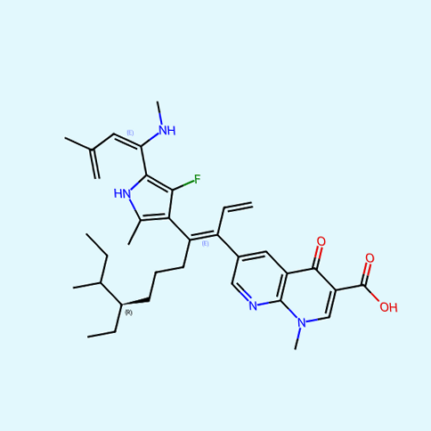 C=C/C(=C(/CCC[C@@H](CC)C(C)CC)c1c(C)[nH]c(/C(=C\C(=C)C)NC)c1F)c1cnc2c(c1)c(=O)c(C(=O)O)cn2C